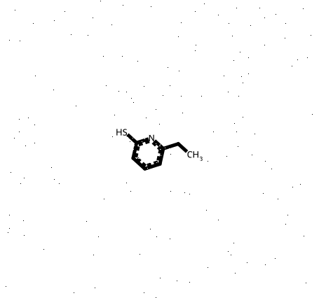 CCc1cccc(S)n1